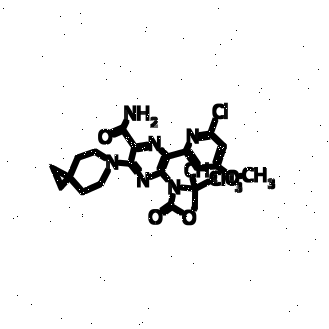 COc1cc(Cl)nc(-c2nc(C(N)=O)c(N3CCC4(CC3)CC4)nc2N2C(=O)OCC2(C)C)c1